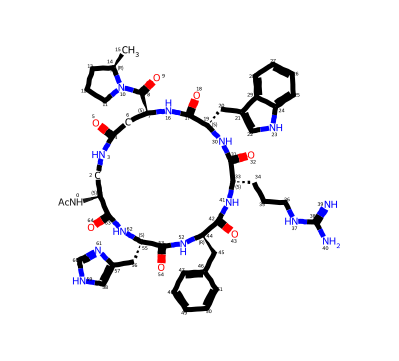 CC(=O)N[C@H]1CNC(=O)C[C@@H](C(=O)N2CCC[C@H]2C)NC(=O)[C@H](Cc2c[nH]c3ccccc23)NC(=O)[C@H](CCCNC(=N)N)NC(=O)[C@@H](Cc2ccccc2)NC(=O)[C@H](Cc2c[nH]cn2)NC1=O